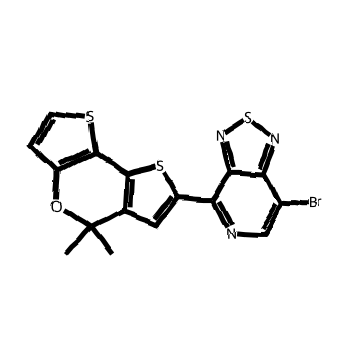 CC1(C)Oc2ccsc2-c2sc(-c3ncc(Br)c4nsnc34)cc21